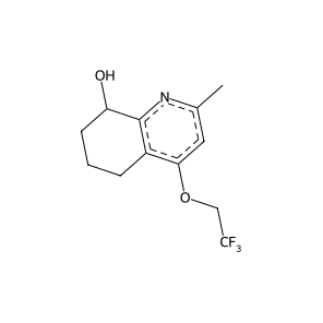 Cc1cc(OCC(F)(F)F)c2c(n1)C(O)CCC2